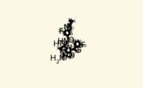 C[C@]1(C(N)=O)COc2c1cc([C@@](O)(CNC(=O)c1cc(F)c3nn(C4CC4)cc3c1)C1CC1)nc2-c1csc2c(F)cccc12